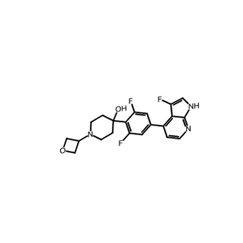 OC1(c2c(F)cc(-c3ccnc4[nH]cc(F)c34)cc2F)CCN(C2COC2)CC1